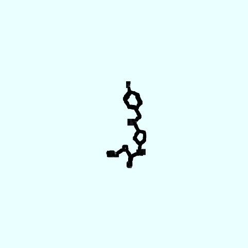 CC(C)(C)OC(=O)NC1CCC(NCc2ccc(F)cc2)C1